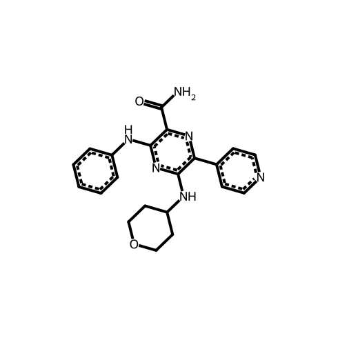 NC(=O)c1nc(-c2ccncc2)c(NC2CCOCC2)nc1Nc1ccccc1